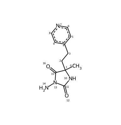 CC1(CCc2ccncc2)NC(=O)N(N)C1=O